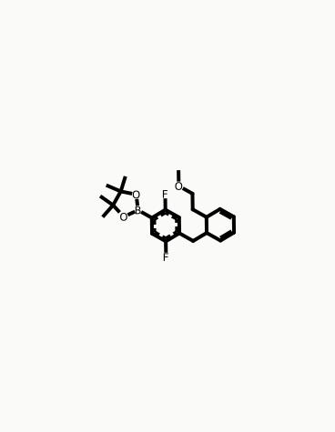 COCCC1C=CC=CC1Cc1cc(F)c(B2OC(C)(C)C(C)(C)O2)cc1F